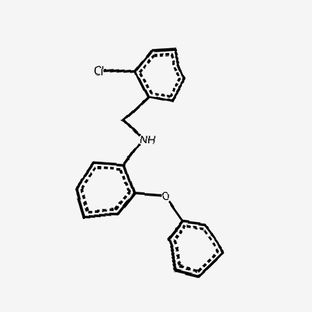 Clc1ccccc1CNc1ccccc1Oc1ccccc1